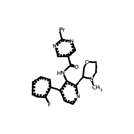 CC(C)c1ncc(C(=O)Nc2c(-c3ccccc3F)ccnc2C2COCCN2C)cn1